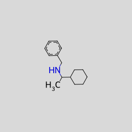 CC(NCc1ccccc1)C1CCCCC1